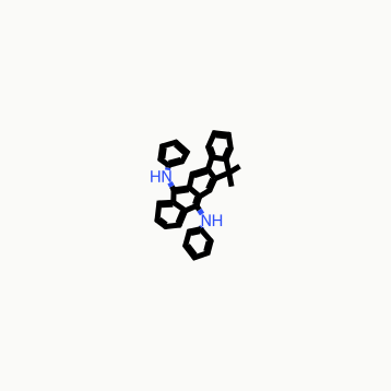 CC1(C)c2ccccc2-c2cc3c(Nc4ccccc4)c4ccccc4c(Nc4ccccc4)c3cc21